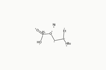 CCCCC(CC)CO[PH](=O)O.[Ni]